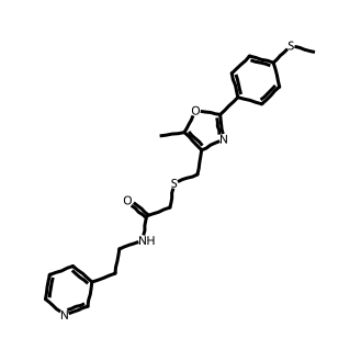 CSc1ccc(-c2nc(CSCC(=O)NCCc3cccnc3)c(C)o2)cc1